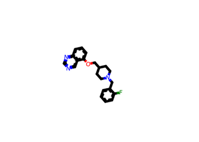 Fc1ccccc1CN1CCC(COc2cccc3ncncc23)CC1